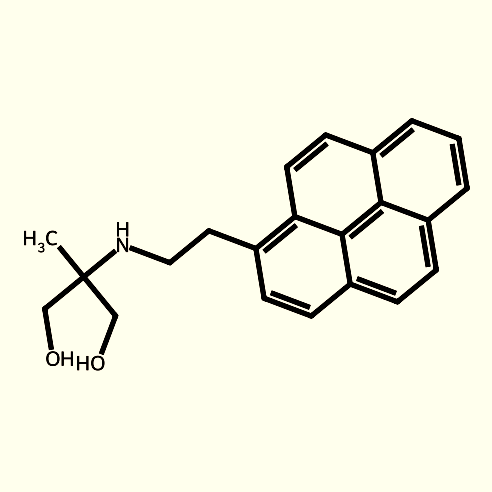 CC(CO)(CO)NCCc1ccc2ccc3cccc4ccc1c2c34